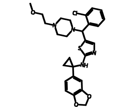 COCCN1CCN(C(c2cnc(NC3(c4ccc5c(c4)OCO5)CC3)s2)c2ccccc2Cl)CC1